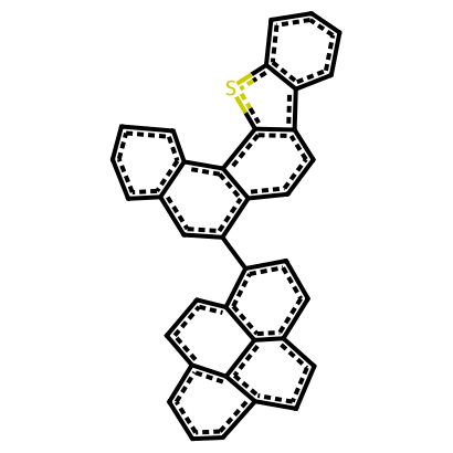 c1ccc2c(c1)cc(-c1ccc3ccc4cccc5ccc1c3c45)c1ccc3c4ccccc4sc3c12